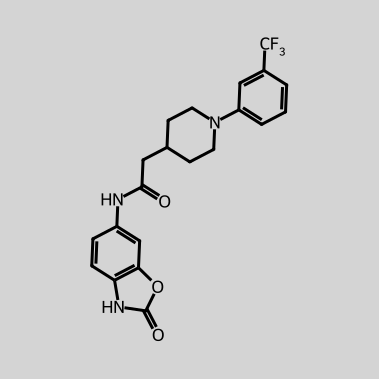 O=C(CC1CCN(c2cccc(C(F)(F)F)c2)CC1)Nc1ccc2[nH]c(=O)oc2c1